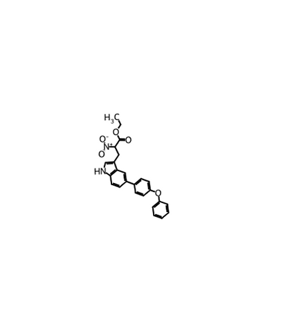 CCOC(=O)C(Cc1c[nH]c2ccc(-c3ccc(Oc4ccccc4)cc3)cc12)[N+](=O)[O-]